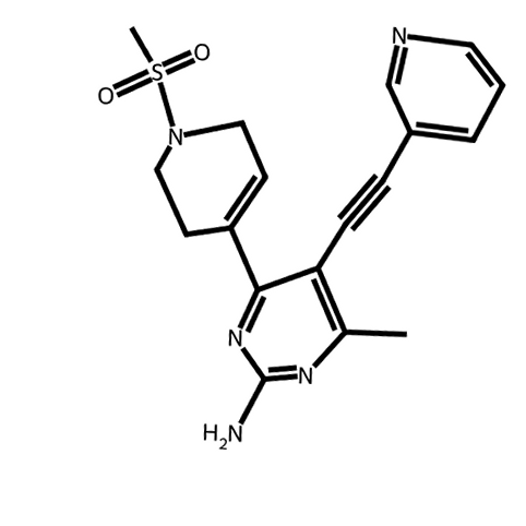 Cc1nc(N)nc(C2=CCN(S(C)(=O)=O)CC2)c1C#Cc1cccnc1